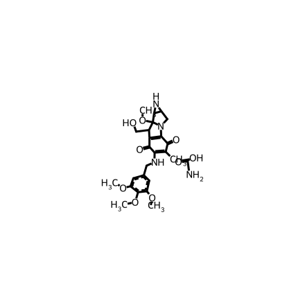 COc1cc(CNC2=C(C)C(=O)C3=C(C2=O)C(CO)C2(OC)C4NC4CN32)cc(OC)c1OC.NC(=O)O